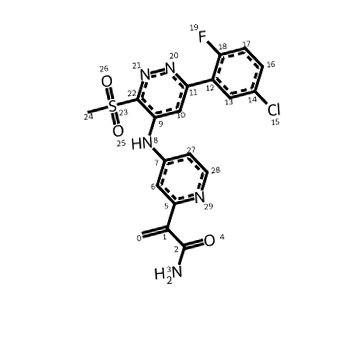 C=C(C(N)=O)c1cc(Nc2cc(-c3cc(Cl)ccc3F)nnc2S(C)(=O)=O)ccn1